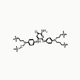 C[N+](C)(C)CCCN(CCC[N+](C)(C)C)c1ccc(N=C2N=C(N)C(=O)C=C2Nc2ccc(N(CCC[N+](C)(C)C)CCC[N+](C)(C)C)cc2)cc1